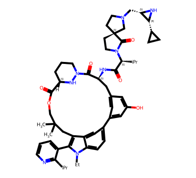 CCn1c(-c2cccnc2C(C)C)c2c3cc(ccc31)-c1cc(O)cc(c1)C[C@H](NC(=O)[C@H](C(C)C)N1CC[C@]3(CCN(C[C@@H]4N[C@@H]4C4CC4)C3)C1=O)C(=O)N1CCC[C@H](N1)C(=O)OCC(C)(C)C2